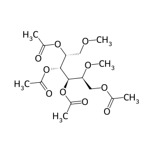 COC[C@@H](OC(C)=O)[C@@H](OC(C)=O)[C@H](OC(C)=O)[C@H](COC(C)=O)OC